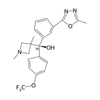 Cc1nnc(-c2cccc([C@](O)(c3ccc(OC(F)(F)F)cc3)C3(C)CN(C)C3)c2)o1